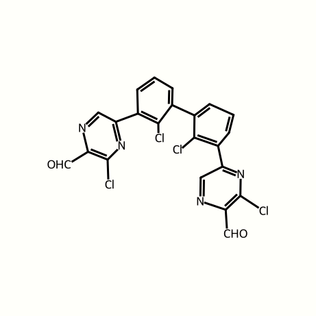 O=Cc1ncc(-c2cccc(-c3cccc(-c4cnc(C=O)c(Cl)n4)c3Cl)c2Cl)nc1Cl